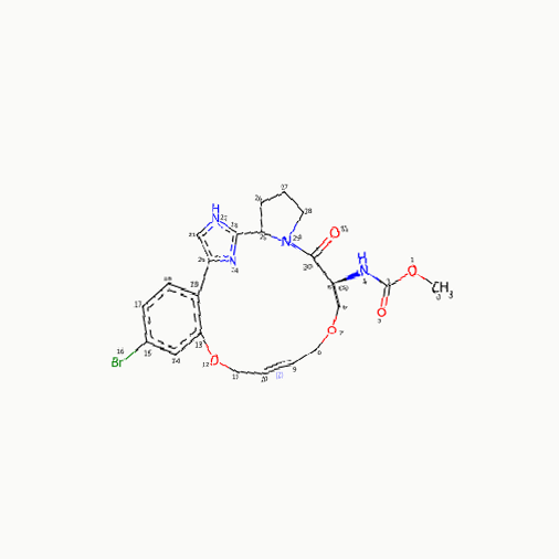 COC(=O)N[C@H]1COC/C=C\COc2cc(Br)ccc2-c2c[nH]c(n2)C2CCCN2C1=O